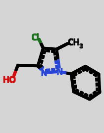 Cc1c(Cl)c(CO)nn1-c1ccccc1